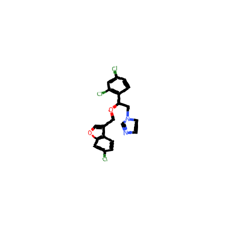 Clc1ccc(C(Cn2ccnc2)OCc2coc3cc(Cl)ccc23)c(Cl)c1